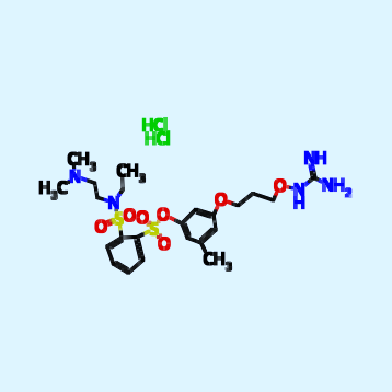 CCN(CCN(C)C)S(=O)(=O)c1ccccc1S(=O)(=O)Oc1cc(C)cc(OCCCONC(=N)N)c1.Cl.Cl